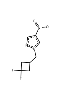 O=[N+]([O-])c1cnn(CC2CC(F)(F)C2)c1